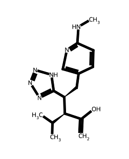 C=C(O)[C@@H](C(C)C)[C@H](Cc1ccc(NC)nc1)c1nnn[nH]1